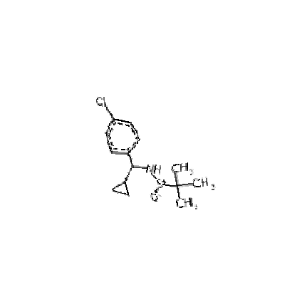 CC(C)(C)[S@@+]([O-])NC(c1ccc(Cl)cc1)C1CC1